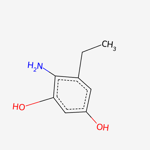 CCc1cc(O)cc(O)c1N